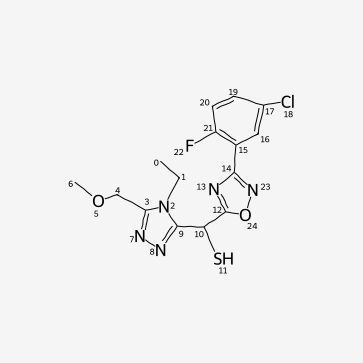 CCn1c(COC)nnc1C(S)c1nc(-c2cc(Cl)ccc2F)no1